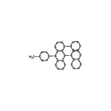 Cc1ccc(-c2c3ccccc3c(-c3cccc4ccccc34)c3c(-c4ccccc4)cccc23)cc1